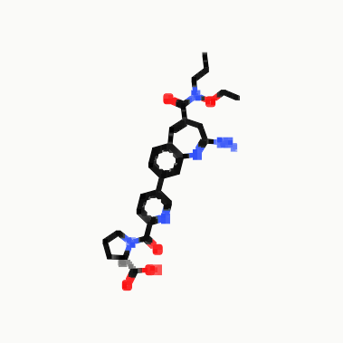 CCCN(OCC)C(=O)C1=Cc2ccc(-c3ccc(C(=O)N4CCC[C@H]4C(=O)O)nc3)cc2N=C(N)C1